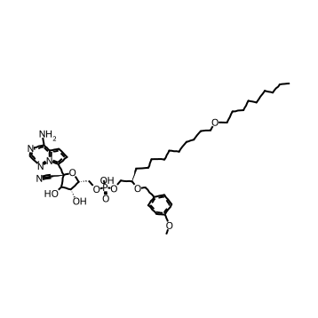 CCCCCCCCCOCCCCCCCCCC[C@H](COP(=O)(O)OC[C@H]1O[C@@](C#N)(c2ccc3c(N)ncnn23)C(O)[C@H]1O)OCc1ccc(OC)cc1